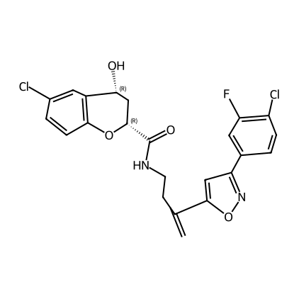 C=C(CCNC(=O)[C@H]1C[C@@H](O)c2cc(Cl)ccc2O1)c1cc(-c2ccc(Cl)c(F)c2)no1